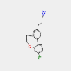 N#CCCc1ccc2c(c1)CCOc1cc(F)ccc1-2